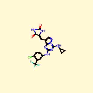 O=C1NC(=O)/C(=C/c2cnn3c(NC4CC4)nc(Nc4ccc(Cl)c(C(F)(F)F)c4)nc23)N1